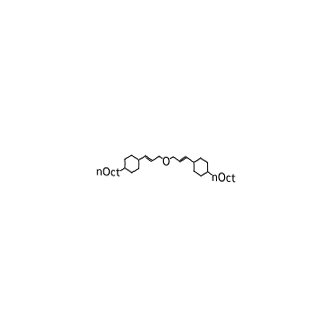 CCCCCCCCC1CCC(/C=C/COC/C=C/C2CCC(CCCCCCCC)CC2)CC1